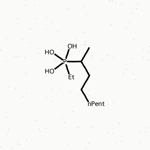 CCCCCCCC(C)P(O)(O)(O)CC